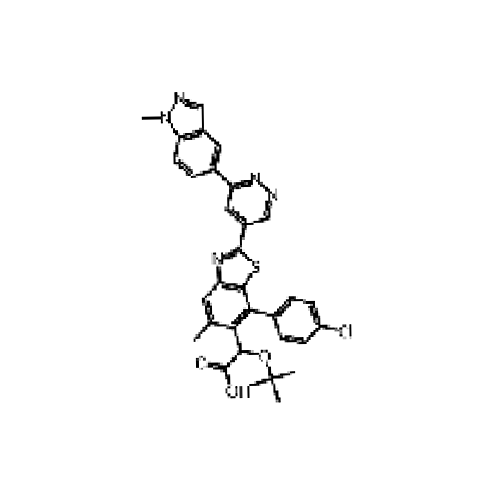 Cc1cc2nc(-c3cnnc(-c4ccc5c(cnn5C)c4)c3)sc2c(-c2ccc(Cl)cc2)c1C(OC(C)(C)C)C(=O)O